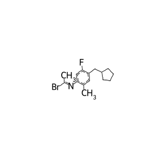 C/C(Br)=N\c1cc(F)c(CC2CCCC2)cc1C